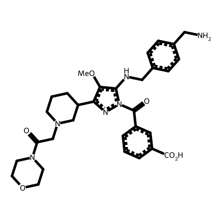 COc1c(C2CCCN(CC(=O)N3CCOCC3)C2)nn(C(=O)c2cccc(C(=O)O)c2)c1NCc1ccc(CN)cc1